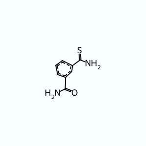 NC(=O)c1cccc(C(N)=S)c1